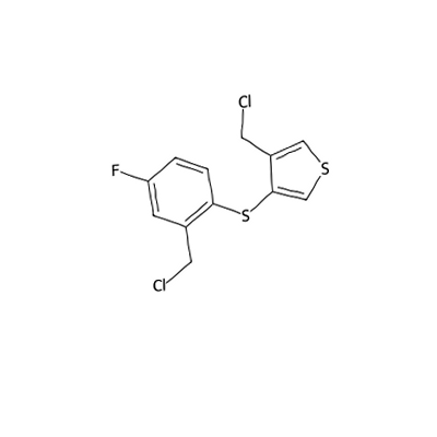 Fc1ccc(Sc2cscc2CCl)c(CCl)c1